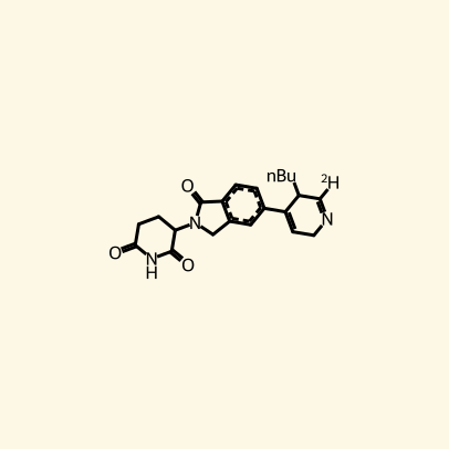 [2H]C1=NCC=C(c2ccc3c(c2)CN(C2CCC(=O)NC2=O)C3=O)C1CCCC